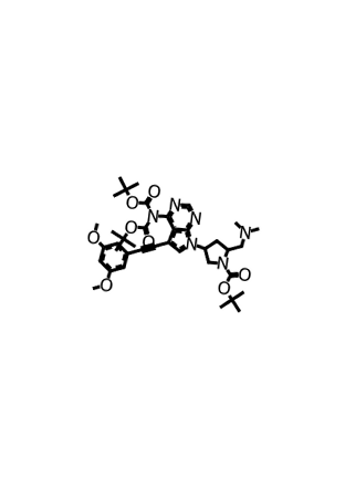 COc1cc(C#Cc2cn(C3CC(CN(C)C)N(C(=O)OC(C)(C)C)C3)c3ncnc(N(C(=O)OC(C)(C)C)C(=O)OC(C)(C)C)c23)cc(OC)c1